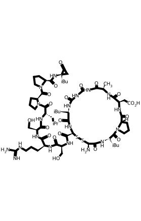 CC[C@H](C)[C@@H]1NC(=O)NC(=O)NC(=O)[C@H](C)NC(=O)[C@@H](CC(=O)O)NC(=O)[C@@H]2CCCN2C(=O)[C@H]([C@@H](C)CC)NC(=O)[C@@H](N)SS[C@@H](C(=O)N[C@@H](CO)C(=O)N[C@@H](CCCNC(=N)N)C(=O)N[C@@H](CO)C(=O)N[C@@H](CC(C)C)C(=O)N2CCC[C@H]2C(=O)N2CCC[C@H]2C(=O)N[C@]2([C@@H](C)CC)CC2=O)NC1=O